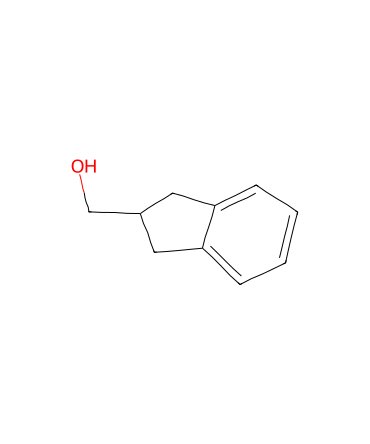 OCC1Cc2ccccc2C1